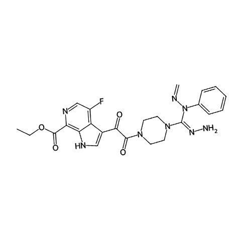 C=NN(/C(=N\N)N1CCN(C(=O)C(=O)c2c[nH]c3c(C(=O)OCC)ncc(F)c23)CC1)c1ccccc1